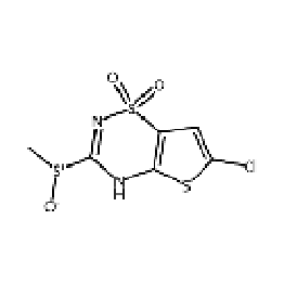 C[S+]([O-])C1=NS(=O)(=O)c2cc(Cl)sc2N1